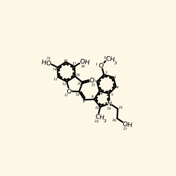 COc1ccc2c(c1)c(C=C1Oc3cc(O)cc(O)c3C1=O)c(C)n2CCO